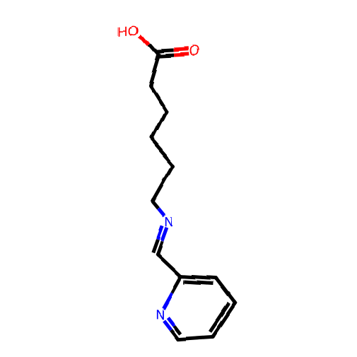 O=C(O)CCCCCN=Cc1ccccn1